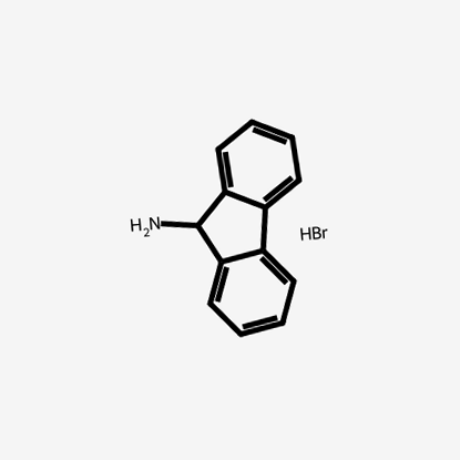 Br.NC1c2ccccc2-c2ccccc21